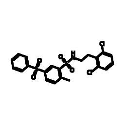 Cc1ccc(S(=O)(=O)c2ccccc2)cc1S(=O)(=O)NCCc1c(Cl)cccc1Cl